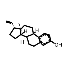 C=C[C@H]1CC[C@H]2[C@@H]3CCc4cc(O)ccc4[C@H]3CC[C@]12C